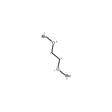 CCC(C)OCCOC(C)CC